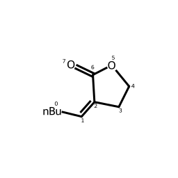 CCCC/C=C1/CCOC1=O